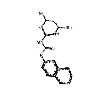 CC(C)C1CC(N)NC(NC(=O)Nc2ccc3ccccc3c2)N1